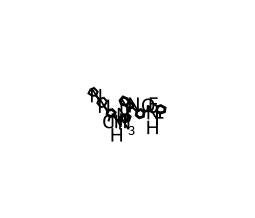 Cc1cc(N2CCC(N3CCCCC3)CC2)ccc1Nc1nccc(-c2c(-c3cccc(C(=O)Nc4c(F)cccc4F)c3)nc3ccccn23)n1